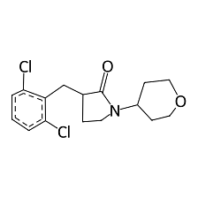 O=C1C(Cc2c(Cl)cccc2Cl)CCN1C1CCOCC1